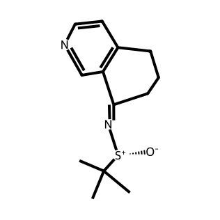 CC(C)(C)[S@@+]([O-])N=C1CCCc2ccncc21